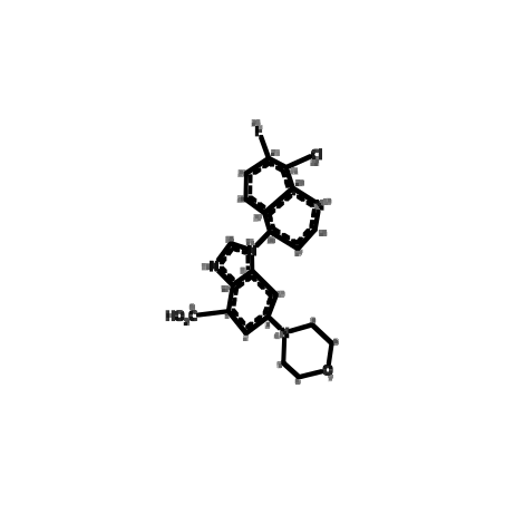 O=C(O)c1cc(N2CCOCC2)cc2c1ncn2-c1ccnc2c(Cl)c(F)ccc12